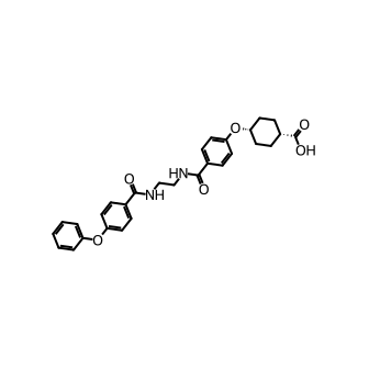 O=C(NCCNC(=O)c1ccc(O[C@H]2CC[C@@H](C(=O)O)CC2)cc1)c1ccc(Oc2ccccc2)cc1